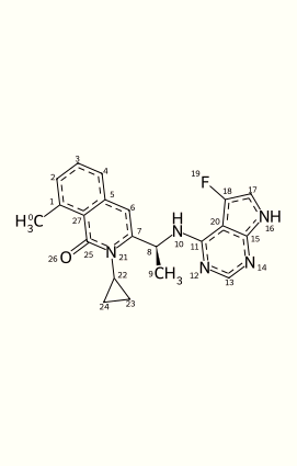 Cc1cccc2cc([C@H](C)Nc3ncnc4[nH]cc(F)c34)n(C3CC3)c(=O)c12